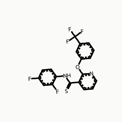 Fc1ccc(NC(=S)c2cccnc2Oc2cccc(C(F)(F)F)c2)c(F)c1